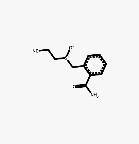 N#C[CH]C[S+]([O-])Cc1ccccc1C(N)=O